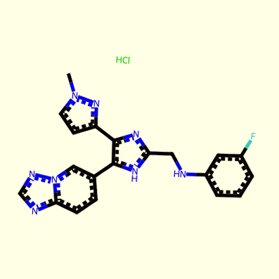 Cl.Cn1ccc(-c2nc(CNc3cccc(F)c3)[nH]c2-c2ccc3ncnn3c2)n1